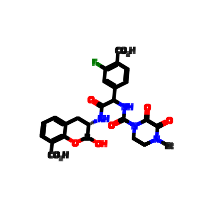 CCN1CCN(C(=O)NC(C(=O)N[C@H]2Cc3cccc(C(=O)O)c3OB2O)c2ccc(C(=O)O)c(F)c2)C(=O)C1=O